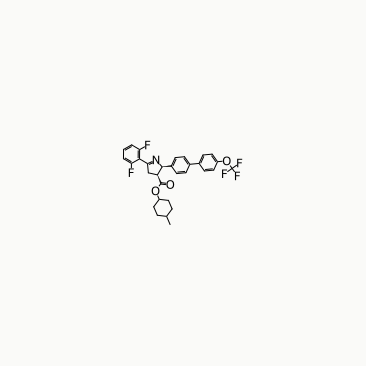 CC1CCC(OC(=O)[C@H]2CC(c3c(F)cccc3F)=N[C@H]2c2ccc(-c3ccc(OC(F)(F)F)cc3)cc2)CC1